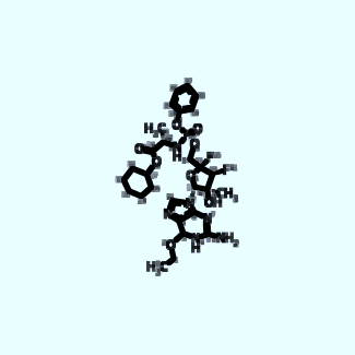 CCOC1NC(N)=Nc2c1ncn2[C@@H]1O[C@](F)(COP(=O)(N[C@@H](C)C(=O)OC2CCCCC2)Oc2ccccc2)[C@@H](F)[C@@]1(C)O